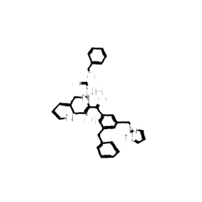 O=C(NN1Cc2cccnc2C(O)=C1C(=O)c1cc(Cc2ccccc2)cc(Cn2cccn2)c1)OCc1ccccc1